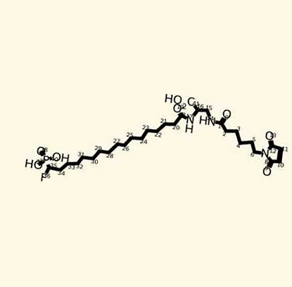 O=C(CCCCCN1C(=O)C=CC1=O)NCC(NC(=O)CCCCCCCCCCCCCCCC(F)P(=O)(O)O)C(=O)O